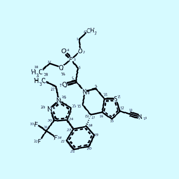 CCOP(=O)(CC(=O)N1Cc2sc(C#N)cc2[C@H](c2ccccc2-c2cn(CC)nc2C(F)(F)F)C1)OCC